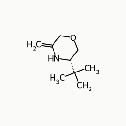 C=C1COC[C@H](C(C)(C)C)N1